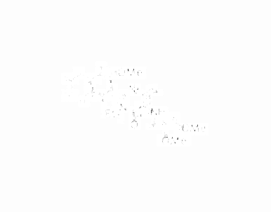 CCn1c(-c2cc3c(cc2OC)CCCC3)nc(C)c(NCC(COC)OC)c1=O